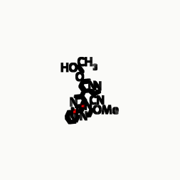 COc1cnc(CN2C3CC2CN(c2ccc(-c4cc(OC[C@@H](C)O)cn5ncc(C#N)c45)cn2)C3)cn1